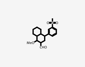 COC1C(C=O)CC(c2cccc(S(C)(=O)=O)c2)C2CCCCC21